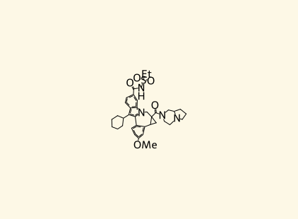 CCS(=O)(=O)NC(=O)c1ccc2c(C3CCCCC3)c3n(c2c1)CC1(C(=O)N2CCN4CCCC4C2)CC1c1cc(OC)ccc1-3